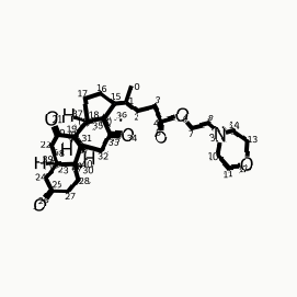 CC(CCC(=O)OCCN1CCOCC1)C1CC[C@H]2[C@@H]3C(=O)C[C@H]4CC(=O)CC[C@]4(C)[C@H]3CC(=O)[C@]12C